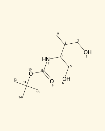 CC(CO)C(CO)NC(=O)OC(C)(C)C